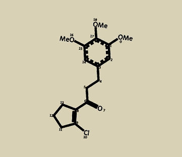 COc1cc(CCC(=O)C2=C(Cl)CCC2)cc(OC)c1OC